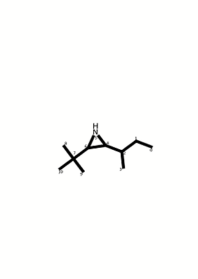 CCC(C)C1NC1C(C)(C)C